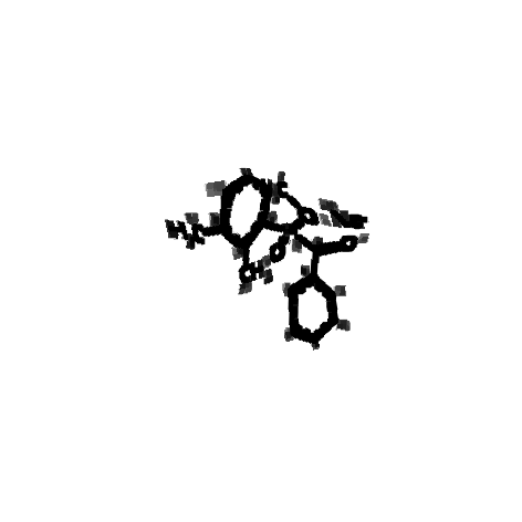 COP(=O)(C(=O)c1ccccc1)c1cccc(C)c1C.[Na]